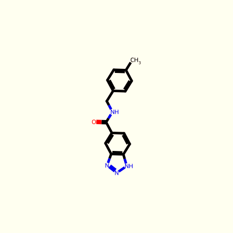 Cc1ccc(CNC(=O)c2ccc3[nH]nnc3c2)cc1